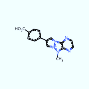 Cn1c2nccnc2n2cc(-c3ccc(C(=O)O)cc3)c[n+]12